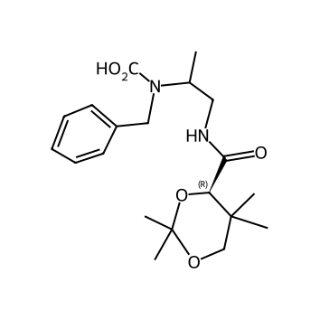 CC(CNC(=O)[C@@H]1OC(C)(C)OCC1(C)C)N(Cc1ccccc1)C(=O)O